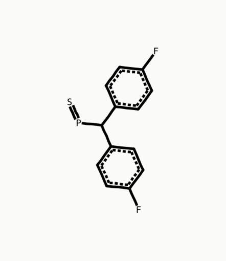 Fc1ccc(C(P=S)c2ccc(F)cc2)cc1